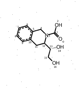 O=C(O)N1Cc2ccccc2CC1[C@H](O)CO